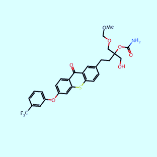 COCOCC(CO)(CCc1ccc2sc3cc(Oc4cccc(C(F)(F)F)c4)ccc3c(=O)c2c1)OC(N)=O